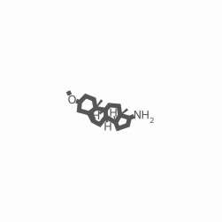 COC1CC[C@@]2(C)C(=CC[C@@H]3[C@H]2CC[C@]2(C)C(N)CC[C@@H]32)C1